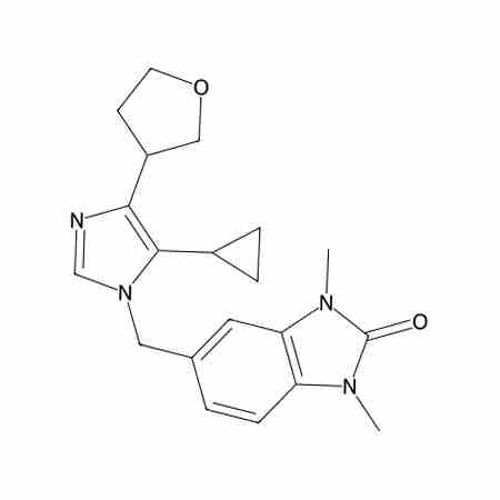 Cn1c(=O)n(C)c2cc(Cn3cnc(C4CCOC4)c3C3CC3)ccc21